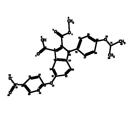 COC(=O)c1c(C(=O)O)c2cc(Oc3ccc([N+](=O)[O-])cn3)ccc2n1-c1ccc(OC(C)C)cc1